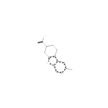 O=C(O)C1CCc2c([nH]c3ccc(I)cc23)C1